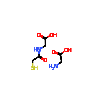 NCC(=O)O.O=C(O)CNC(=O)CS